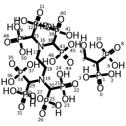 O=P(O)(O)C(CO)P(=O)(O)O.O=P(O)(O)C(N(CCN(C(P(=O)(O)O)P(=O)(O)O)C(P(=O)(O)O)P(=O)(O)O)C(P(=O)(O)O)P(=O)(O)O)P(=O)(O)O